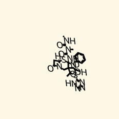 CNC(=O)N(C)C(=O)NC1(N(C(C)=O)c2ccccc2)S[C@@H]2CC(=O)N2CC1(C(=O)O)C(C)Sc1nnn[nH]1